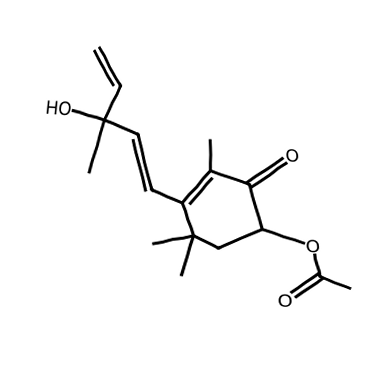 C=CC(C)(O)C=CC1=C(C)C(=O)C(OC(C)=O)CC1(C)C